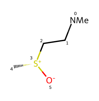 CNCC[S@@+](C)[O-]